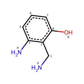 NCc1c(N)cccc1O